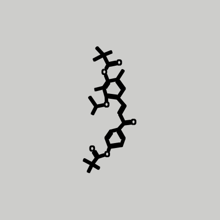 Cc1cc(C=CC(=O)c2ccc(OC(=O)C(C)(C)C)cc2)c(OC(C)C)c(C)c1OC(=O)C(C)(C)C